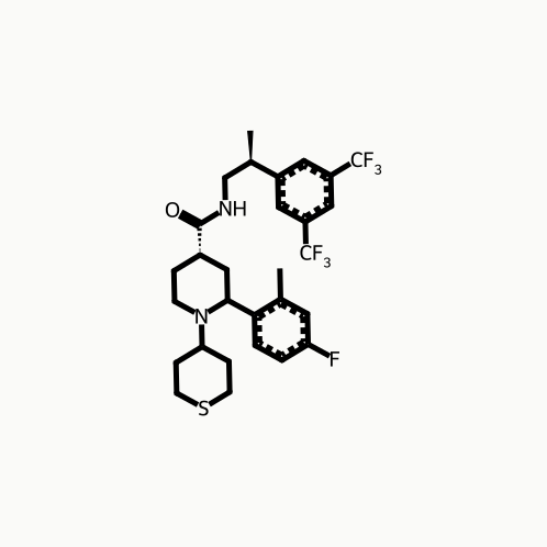 Cc1cc(F)ccc1C1C[C@@H](C(=O)NC[C@@H](C)c2cc(C(F)(F)F)cc(C(F)(F)F)c2)CCN1C1CCSCC1